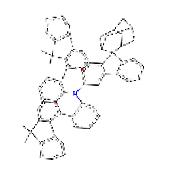 CC1(C)c2ccccc2-c2c(-c3ccccc3N(c3ccc4c(c3)-c3ccccc3C43C4CC5CC(C4)CC3C5)c3ccccc3-c3cccc4c3C(C)(C)c3ccccc3-4)cccc21